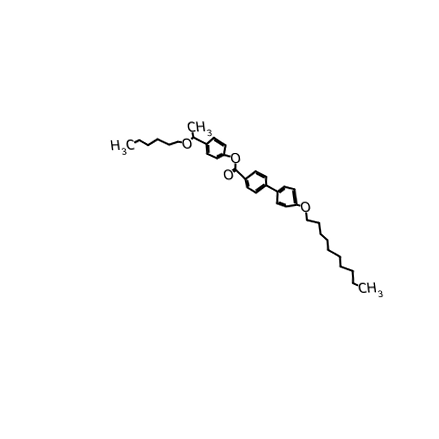 CCCCCCCCCCOc1ccc(-c2ccc(C(=O)Oc3ccc(C(C)OCCCCCC)cc3)cc2)cc1